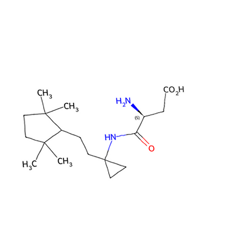 CC1(C)CCC(C)(C)C1CCC1(NC(=O)[C@@H](N)CC(=O)O)CC1